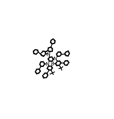 CC(C)(C)c1cc2c(cc1-c1ccccc1)N(c1cccc(-c3ccccc3)c1)c1cc(-n3c4ccc(-c5ccccc5)cc4c4cc(-c5ccccc5)ccc43)cc3c1B2c1cc(C(C)(C)C)c(-c2ccccc2)cc1N3c1cccc(-c2ccccc2)c1